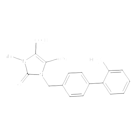 CCCCc1c(C(=O)O)n(CCC)c(=O)n1Cc1ccc(-c2ccccc2C(=O)O)cc1